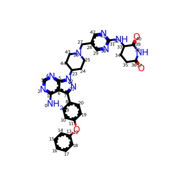 Nc1ncnc2c1c(-c1ccc(Oc3ccccc3)cc1)nn2C1CCN(Cc2cnc(NC3CCC(=O)NC3=O)nc2)CC1